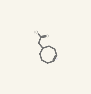 O=C(O)CC1CC/C=C\CCC1